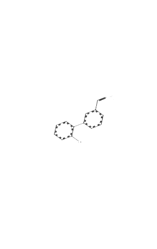 C=Cc1cccc(-c2ccccc2Br)c1